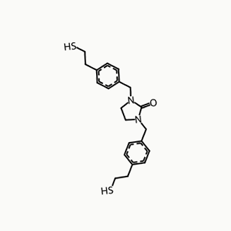 O=C1N(Cc2ccc(CCS)cc2)CCN1Cc1ccc(CCS)cc1